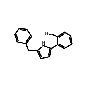 Oc1ccccc1-c1ccc(Cc2ccccc2)[nH]1